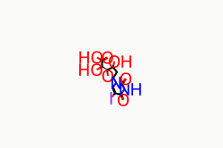 O=C(O)C(O)[C@@H]1O[C@H](n2cc(I)c(=O)[nH]c2=O)CC1O